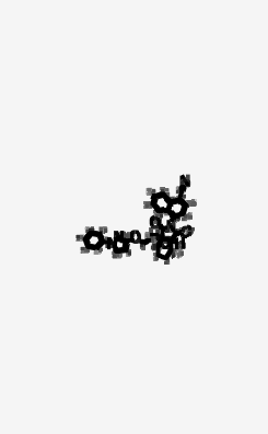 C[C@]12CC[C@](CCOc3ccn(-c4ccccc4)n3)(O1)[C@@H]1C(=O)N(c3ccc(C#N)c4ccccc34)C(=O)[C@@H]12